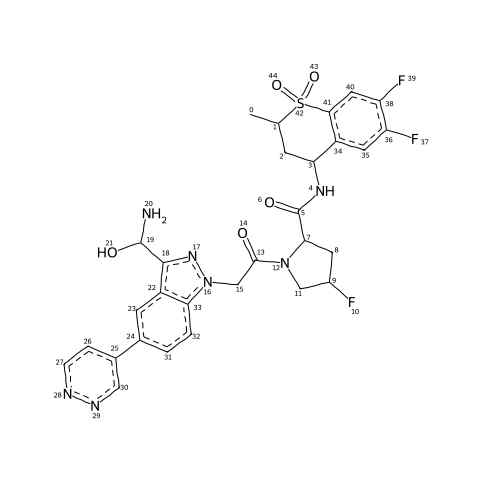 CC1CC(NC(=O)C2CC(F)CN2C(=O)Cn2nc(C(N)O)c3cc(-c4ccnnc4)ccc32)c2cc(F)c(F)cc2S1(=O)=O